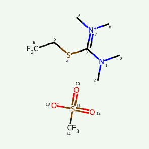 CN(C)C(SCC(F)(F)F)=[N+](C)C.O=S(=O)([O-])C(F)(F)F